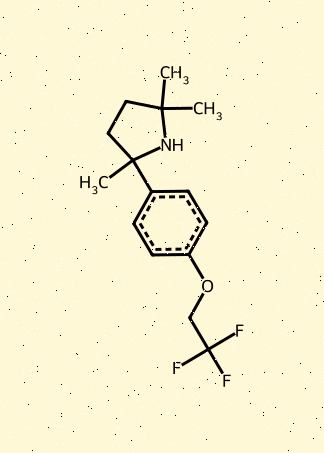 CC1(C)CCC(C)(c2ccc(OCC(F)(F)F)cc2)N1